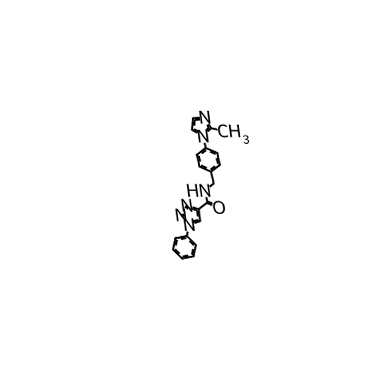 Cc1nccn1-c1ccc(CNC(=O)c2cn(-c3ccccc3)nn2)cc1